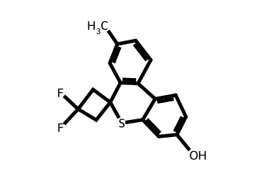 Cc1ccc2c(c1)C1(CC(F)(F)C1)Sc1cc(O)ccc1-2